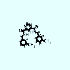 Cc1cccc(CNC(=O)c2cc(C(=O)NCc3ccc(F)c(C)c3)ncn2)c1